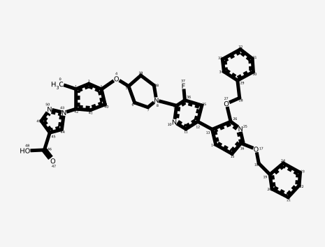 Cc1cc(OC2CCN(c3ncc(-c4ccc(OCc5ccccc5)nc4OCc4ccccc4)cc3F)CC2)ccc1-n1cc(C(=O)O)cn1